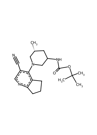 C[C@@H]1CC(NC(=O)OC(C)(C)C)CN(c2c(C#N)cnc3c2CCC3)C1